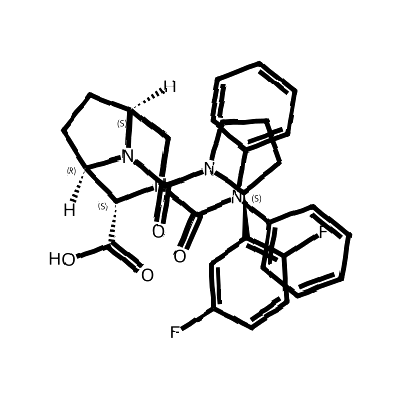 O=C(O)[C@@H]1[C@H]2CC[C@@H](CN1C(=O)N(c1ccccc1)c1ccccc1)N2C(=O)N1CCC[C@H]1c1cc(F)ccc1F